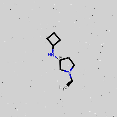 C=CN1CC[C@@H](NC2CCC2)C1